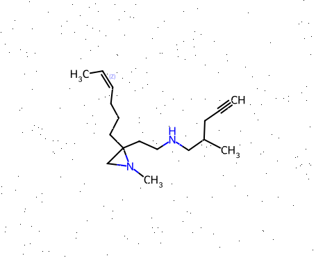 C#CCC(C)CNCCC1(CCC/C=C\C)CN1C